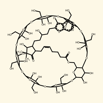 CC1(C)C(=O)C(C/C=C\CCCC(=O)OCC2OC3OC4C(CO)OC(OC5C(CO)OC(OC6C(CO)OC(OC7C(CO)OC(OC8C(CO)OC(OC9C(CO)OC(OC%10C(CO)OC(OC2C(O)C3O)C(O)C%10O)C(O)C9O)C(O)C8O)C(O)C7O)C(O)C6O)C(O)C5O)C(O)C4O)C(CCC(O)CCc2sc3ccccc3c2Cl)C1O